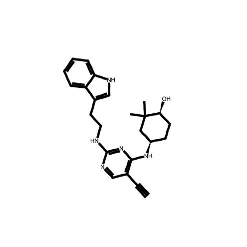 C#Cc1cnc(NCCc2c[nH]c3ccccc23)nc1N[C@@H]1CC[C@H](O)C(C)(C)C1